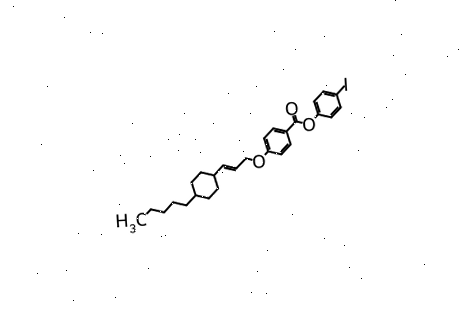 CCCCCC1CCC(C=CCOc2ccc(C(=O)Oc3ccc(I)cc3)cc2)CC1